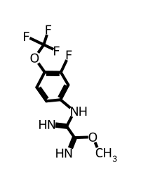 COC(=N)C(=N)Nc1ccc(OC(F)(F)F)c(F)c1